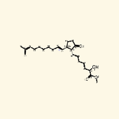 COC(=O)C(O)CCCCC[C@H]1C(=O)CC[C@@H]1/C=C/CCCCCC=C(C)C